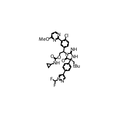 COc1ccnc(-c2cc(C(COC(=O)NC3CC3)N3C(=N)N[C@](CC(C)(C)C)(c4ccc(-c5cnn(C(F)F)c5)cc4)C3=O)ccc2Cl)n1